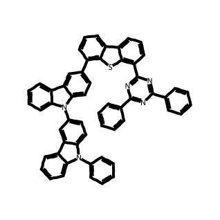 c1ccc(-c2nc(-c3ccccc3)nc(-c3cccc4c3sc3c(-c5ccc6c(c5)c5ccccc5n6-c5ccc6c(c5)c5ccccc5n6-c5ccccc5)cccc34)n2)cc1